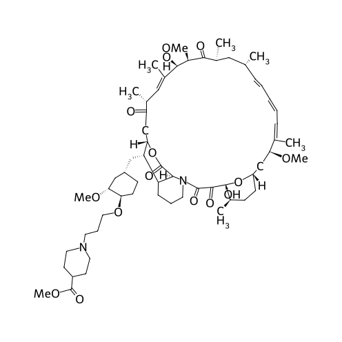 COC(=O)C1CCN(CCCO[C@@H]2CC[C@@H](C[C@H]3C4CCCN5C(=O)C(=O)[C@]6(O)O[C@@H](CC[C@H]6C)C[C@H](OC)/C(C)=C/C=C/C=C/[C@@H](C)C[C@@H](C)C(=O)[C@H](OC)[C@H](O)/C(C)=C/[C@@H](C)C(=O)C[C@@H]3OC(=O)[C@H]45)C[C@H]2OC)CC1